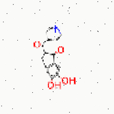 O=C(c1ccncc1)C1Cc2cc(O)c(O)cc2C1=O